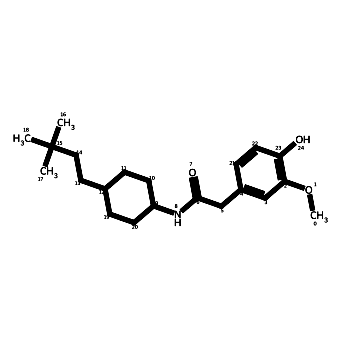 COc1cc(CC(=O)NC2CCC(CCC(C)(C)C)CC2)ccc1O